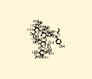 CC(=O)N[C@@H]1[C@@H](O)[C@H](O[C@@H]2O[C@H](C(=O)O)[C@@H](O[C@@H]3O[C@H](CO)[C@@H](O[C@H]4O[C@@H](C(=O)O)[C@H](O)[C@@H](O)[C@@H]4OS(=O)(=O)O)[C@H](OS(=O)(=O)O)[C@H]3NS(=O)(=O)O)[C@H](O)[C@H]2OS(=O)(=O)O)[C@H](COS(=O)(=O)O)O[C@H]1O.CCCOC(=O)c1ccc(O)cc1